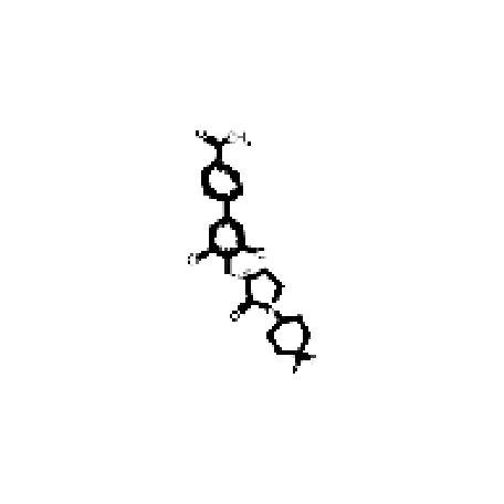 CC(=O)c1ccc(-c2cc(Cl)c(C[C@@H]3CCN(C4CCC(F)(F)CC4)C3=O)c(Cl)c2)cc1